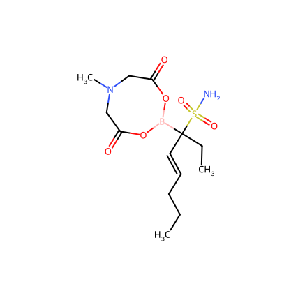 CCCC=CC(CC)(B1OC(=O)CN(C)CC(=O)O1)S(N)(=O)=O